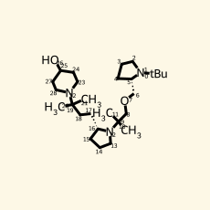 CC(C)(C)N1CCC[C@H]1COCC(C)(C)N1CCC[C@@H]1CCC(C)(C)N1CCC(O)CC1